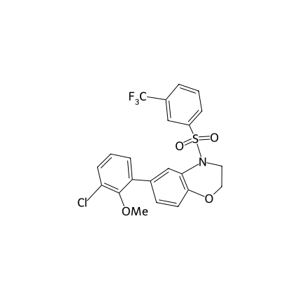 COc1c(Cl)cccc1-c1ccc2c(c1)N(S(=O)(=O)c1cccc(C(F)(F)F)c1)CCO2